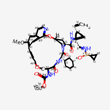 C=C[C@@H]1C[C@@]1(CN[S+]([O-])C1CC1)NC(=O)[C@@H]1C[C@@H]2CN1C(=O)[C@H](C1CCCCC1)NC(=O)C(NC(=O)OC(C)(C)C)COC/C=C/c1cc3c(nccc3cc1OC)O2